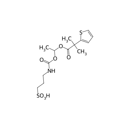 CC(OC(=O)NCCCS(=O)(=O)O)OC(=O)C(C)(C)c1cccs1